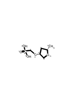 C[C@H]1C[C@@H](OCP(=O)(O)O)CO1